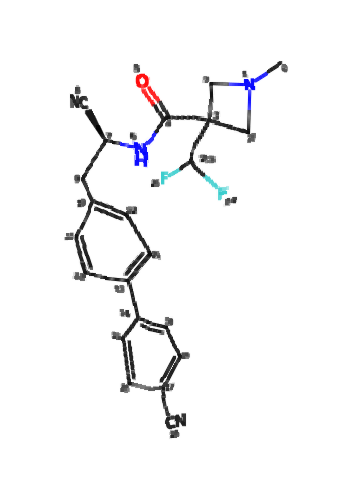 CN1CC(C(=O)N[C@H](C#N)Cc2ccc(-c3ccc(C#N)cc3)cc2)(C(F)F)C1